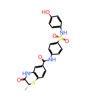 C[C@H]1Sc2ccc(C(=O)Nc3ccc(S(=O)(=O)Nc4ccc(O)cc4)cc3)cc2NC1=O